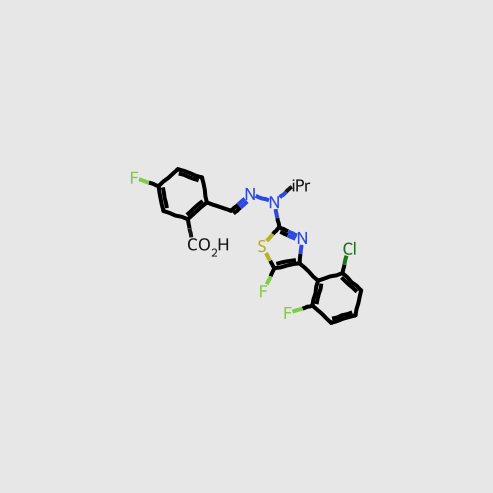 CC(C)N(/N=C/c1ccc(F)cc1C(=O)O)c1nc(-c2c(F)cccc2Cl)c(F)s1